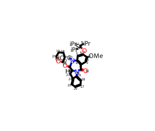 COc1cc2c(cc1O[Si](C(C)C)(C(C)C)C(C)C)N(C(=O)O)C(OC1CCCCO1)[C@@H]1Cc3ccccc3N1C2=O